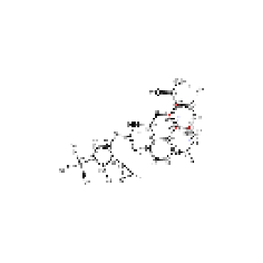 CC(F)/C=C\C(=C/CC(N)=O)c1cccnc1[C@H](Cc1cc(F)cc(F)c1)NC(=O)Cn1nc(C(F)(F)F)c2c1C1CC1C2